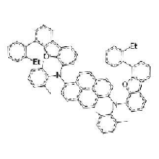 CCc1ccccc1-c1cccc2c1oc1c(N(c3c(C)cccc3C)c3ccc4ccc5c(N(c6c(C)cccc6C)c6cccc7c6oc6c(-c8ccccc8CC)cccc67)ccc6ccc3c4c65)cccc12